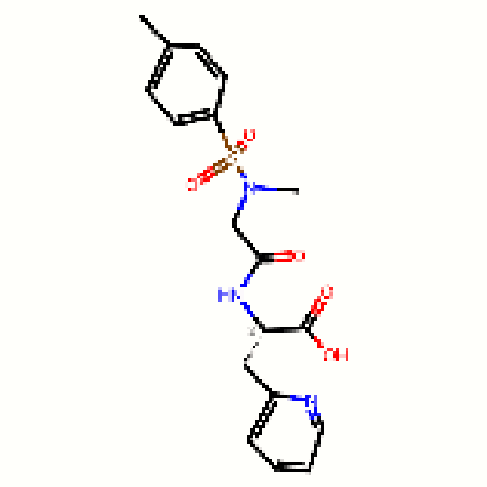 Cc1ccc(S(=O)(=O)N(C)CC(=O)N[C@@H](Cc2ccccn2)C(=O)O)cc1